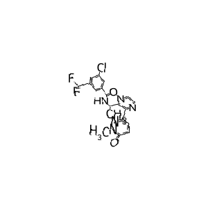 CC(NC(=O)c1cc(Cl)cc(C(F)F)c1)c1nccnc1-c1ccc(=O)n(C)n1